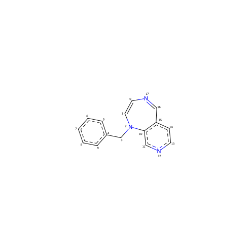 C1=CN(Cc2ccccc2)c2cnccc2C=N1